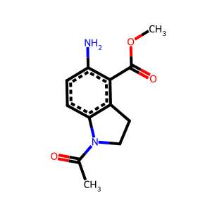 COC(=O)c1c(N)ccc2c1CCN2C(C)=O